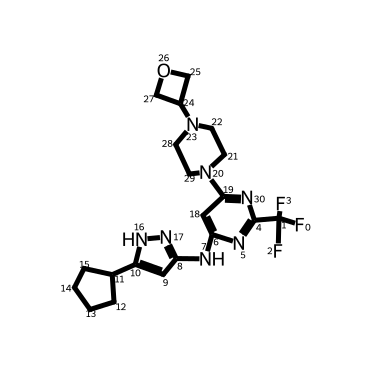 FC(F)(F)c1nc(Nc2cc(C3CCCC3)[nH]n2)cc(N2CCN(C3COC3)CC2)n1